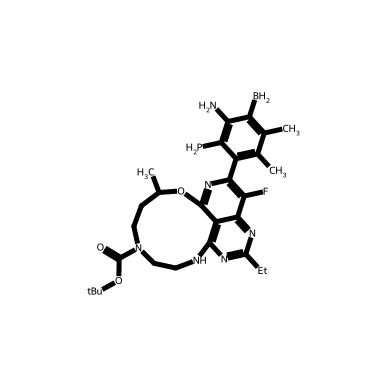 Bc1c(C)c(C)c(-c2nc3c4c(nc(CC)nc4c2F)NCCN(C(=O)OC(C)(C)C)CCC(C)O3)c(P)c1N